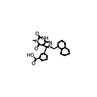 Cn1c(=O)[nH]c2nn(Cc3cccc4ccccc34)c(-c3cccc(C(=O)O)c3)c2c1=O